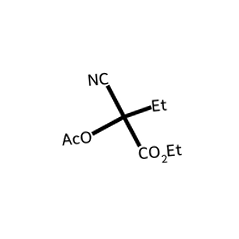 CCOC(=O)C(C#N)(CC)OC(C)=O